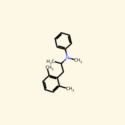 Cc1cccc(C)c1CC(C)N(C)c1ccccc1